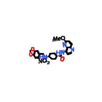 COc1ccc2nccc(NC(=O)[C@H]3CC[C@H](NCc4cc5c(cc4[N+](=O)[O-])OCO5)CC3)c2n1